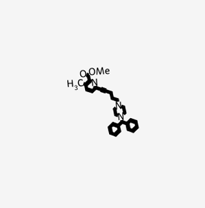 COC(=O)c1nc(C#CCCCN2CCN(C(c3ccccc3)c3ccccc3)CC2)ccc1C